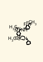 COc1cc2nc(C)nc(NCc3cccc(C(C)(F)F)c3F)c2cc1P1(=O)CCN(Cc2ccccc2)CC1